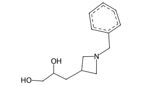 OCC(O)CC1CN(Cc2ccccc2)C1